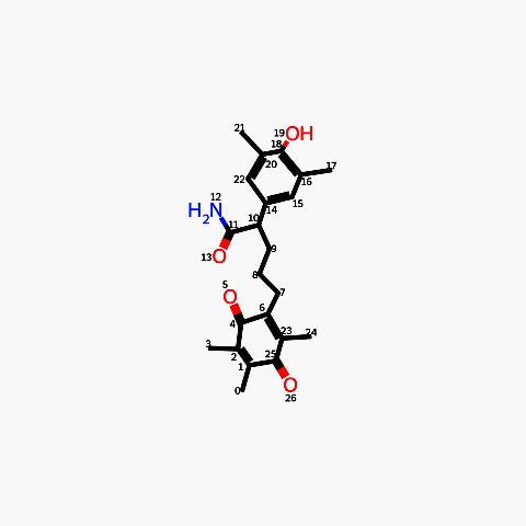 CC1=C(C)C(=O)C(CCCC(C(N)=O)c2cc(C)c(O)c(C)c2)=C(C)C1=O